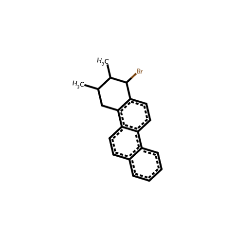 CC1Cc2c(ccc3c2ccc2ccccc23)C(Br)C1C